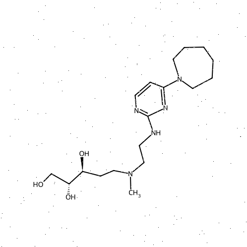 CN(CCNc1nccc(N2CCCCCC2)n1)CC[C@H](O)[C@H](O)CO